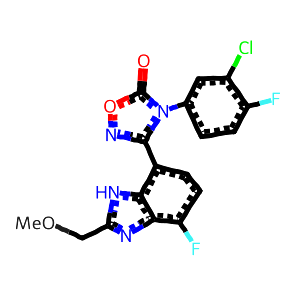 COCc1nc2c(F)ccc(-c3noc(=O)n3-c3ccc(F)c(Cl)c3)c2[nH]1